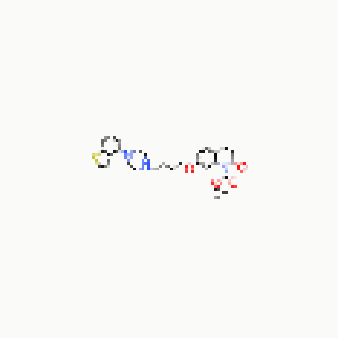 COC(=O)N1C(=O)CCc2ccc(OCCCCN3CCN(c4cccc5sccc45)CC3)cc21